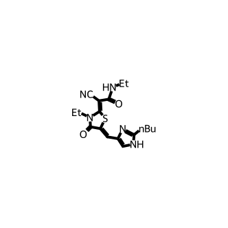 CCCCc1nc(/C=c2\s/c(=C(/C#N)C(=O)NCC)n(CC)c2=O)c[nH]1